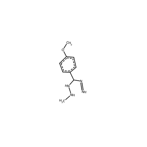 CNNC(N=N)c1ccc(OC)cc1